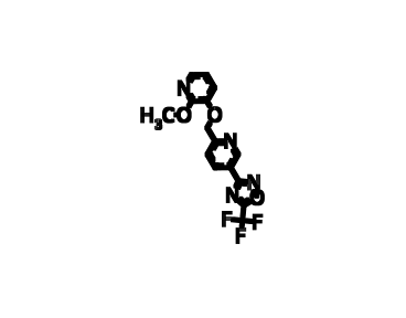 COc1ncccc1OCc1ccc(-c2noc(C(F)(F)F)n2)cn1